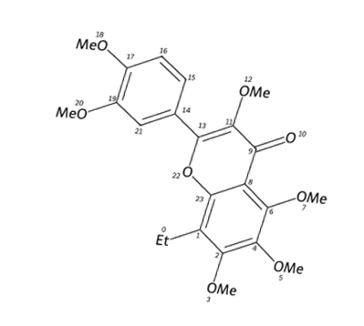 CCc1c(OC)c(OC)c(OC)c2c(=O)c(OC)c(-c3ccc(OC)c(OC)c3)oc12